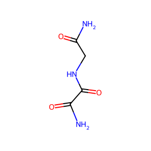 NC(=O)CNC(=O)C(N)=O